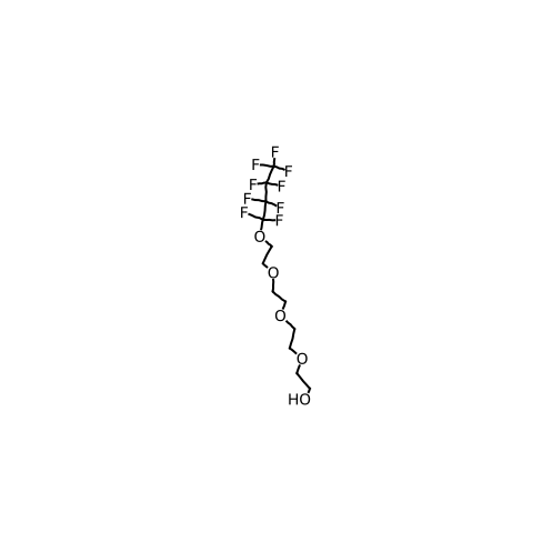 OCCOCCOCCOCCOC(F)(F)C(F)(F)C(F)(F)C(F)(F)F